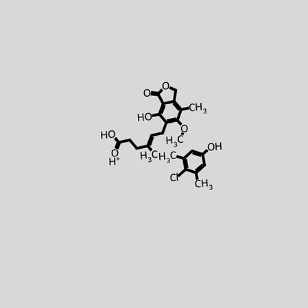 COc1c(C)c2c(c(O)c1C/C=C(\C)CCC(=O)O)C(=O)OC2.Cc1cc(O)cc(C)c1Cl.[H+]